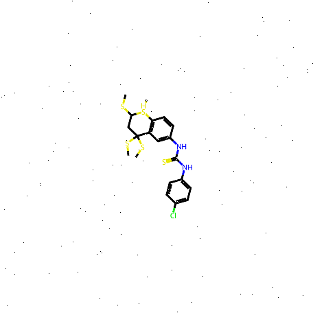 CSC1CC(SC)(SC)c2cc(NC(=S)Nc3ccc(Cl)cc3)ccc2[SH]1C